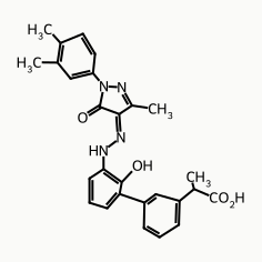 CC1=NN(c2ccc(C)c(C)c2)C(=O)C1=NNc1cccc(-c2cccc(C(C)C(=O)O)c2)c1O